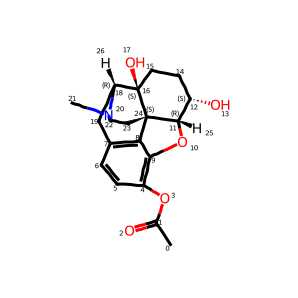 CC(=O)Oc1ccc2c3c1O[C@H]1[C@@H](O)CC[C@@]4(O)[C@@H](C2)N(C)CC[C@]314